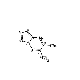 Cc1[c]n2nccc2nc1Cl